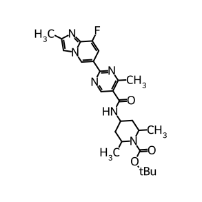 Cc1cn2cc(-c3ncc(C(=O)NC4CC(C)N(C(=O)OC(C)(C)C)C(C)C4)c(C)n3)cc(F)c2n1